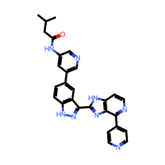 CC(C)CC(=O)Nc1cncc(-c2ccc3[nH]nc(-c4nc5c(-c6ccncc6)nccc5[nH]4)c3c2)c1